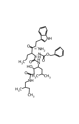 CCCC(C(=O)[C@@H](N)Cc1c[nH]c2ccccc12)[C@H](NC(=O)OCc1ccccc1)C(=O)NC(CC(C)C)C(O)CC(=O)NCC(C)CC